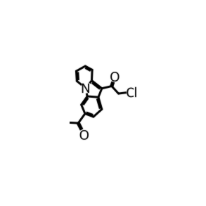 CC(=O)c1ccc2c(C(=O)CCl)c3ccccn3c2c1